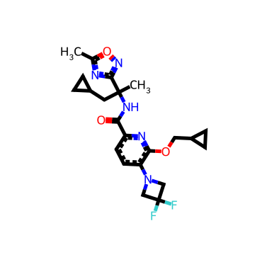 Cc1nc(C(C)(CC2CC2)NC(=O)c2ccc(N3CC(F)(F)C3)c(OCC3CC3)n2)no1